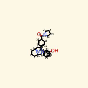 C=CCN1CCC2CCCC(C1)N2C(C1=CCC(C(=O)N2CCCC2)C=C1)c1cccc(O)c1